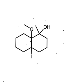 COC12CCCCC1(I)CCCC2(C)O